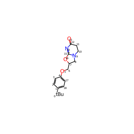 CC(C)(C)c1ccc(OCC2CN3CCC(=O)N=C3O2)cc1